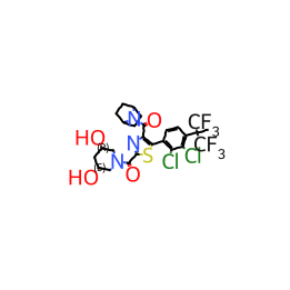 CC(c1ccc(-c2sc(C(=O)N3C[C@H](O)C[C@H](O)C3)nc2C(=O)N2C3CCC2CC3)c(Cl)c1Cl)(C(F)(F)F)C(F)(F)F